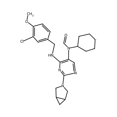 COc1ccc(CNc2nc(N3CC4CC4C3)ncc2N(C=O)C2CC[CH]CC2)cc1Cl